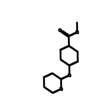 COC(=O)C1CCC(OC2CCCCO2)CC1